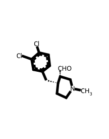 CN1CC[C@H](Cc2ccc(Cl)c(Cl)c2)[C@H](C=O)C1